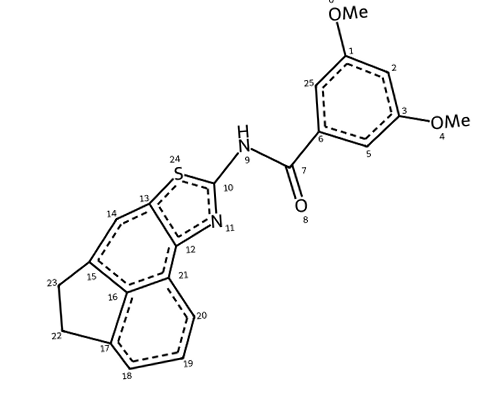 COc1cc(OC)cc(C(=O)Nc2nc3c(cc4c5c(cccc53)CC4)s2)c1